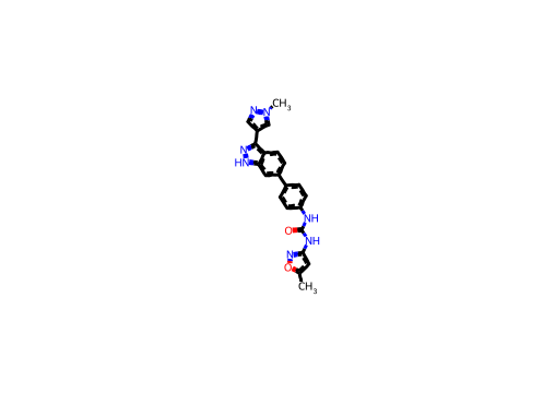 Cc1cc(NC(=O)Nc2ccc(-c3ccc4c(-c5cnn(C)c5)n[nH]c4c3)cc2)no1